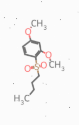 CCCCS(=O)(=O)c1ccc(OC)cc1OC